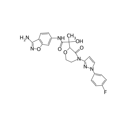 CC(O)(C(=O)Nc1ccc2c(N)noc2c1)C1OCCN(c2ccn(-c3ccc(F)cc3)n2)C1=O